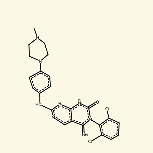 CN1CCN(c2ccc(Nc3ncc4c(=N)n(-c5c(Cl)cccc5Cl)c(=O)[nH]c4n3)cc2)CC1